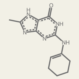 Cc1nc2nc(NC3=CCCCC3)[nH]c(=O)c2[nH]1